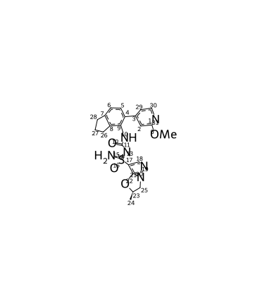 COc1cc(-c2ccc3c(c2NC(=O)N=[S@@](N)(=O)c2cnn4c2O[C@H](C)C4)CCC3)ccn1